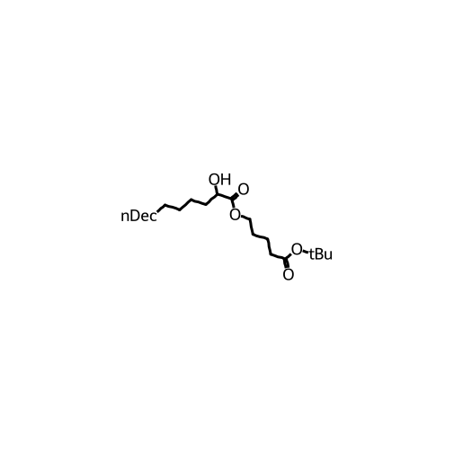 CCCCCCCCCCCCCCC(O)C(=O)OCCCCC(=O)OC(C)(C)C